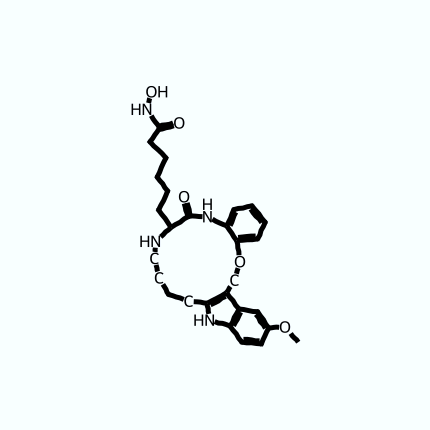 COc1ccc2[nH]c3c(c2c1)COc1ccccc1NC(=O)C(CCCCCC(=O)NO)NCCCC3